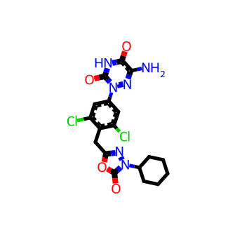 Nc1nn(-c2cc(Cl)c(Cc3nn(C4CCCCC4)c(=O)o3)c(Cl)c2)c(=O)[nH]c1=O